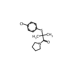 CC(C)(Sc1ccc(Cl)cc1)C(=O)N1CCCC1